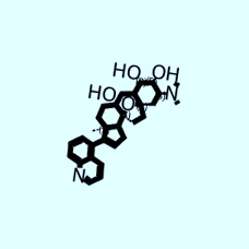 CN(C)[C@H]1C[C@@]23CC[C@]4(O2)C2CC=C(c5cccc6ncccc56)[C@@]2(C)CCC4(O)CC3[C@@H](O)[C@@H]1O